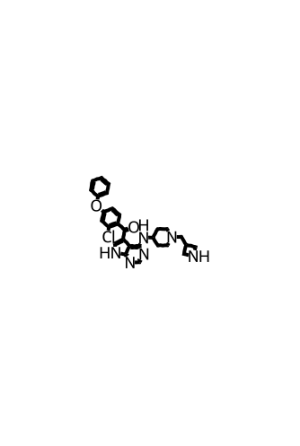 O=C(c1ccc(Oc2ccccc2)cc1Cl)c1c[nH]c2ncnc(NC3CCN(CC4CNC4)CC3)c12